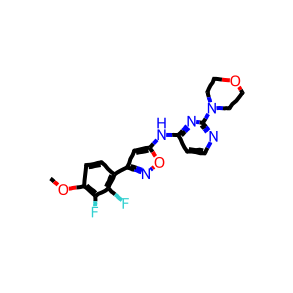 COc1ccc(-c2cc(Nc3ccnc(N4CCOCC4)n3)on2)c(F)c1F